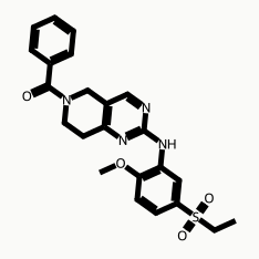 CCS(=O)(=O)c1ccc(OC)c(Nc2ncc3c(n2)CCN(C(=O)c2ccccc2)C3)c1